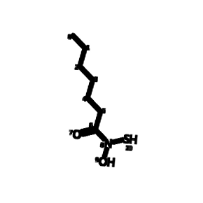 CCCCCCC(=O)N(O)S